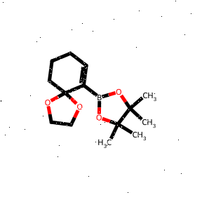 CC1(C)OB(C2=CCCCC23OCCO3)OC1(C)C